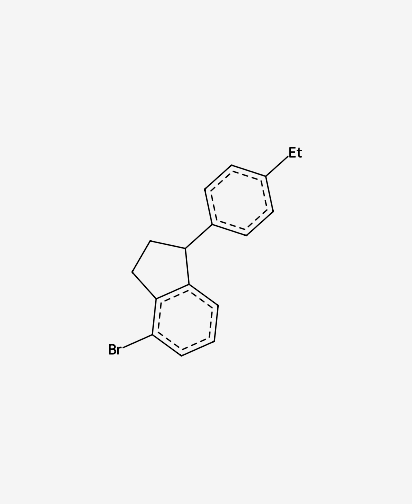 CCc1ccc(C2CCc3c(Br)cccc32)cc1